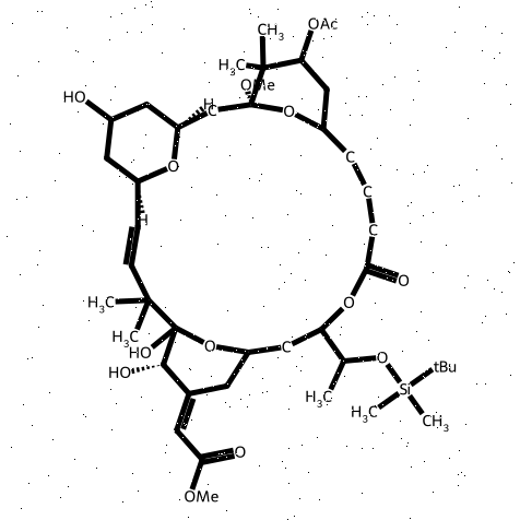 COC(=O)/C=C1\CC2CC(C(C)O[Si](C)(C)C(C)(C)C)OC(=O)CCCC3CC(OC(C)=O)C(C)(C)[C@](OC)(C[C@@H]4CC(O)C[C@H](/C=C/C(C)(C)C(O)(O2)[C@H]1O)O4)O3